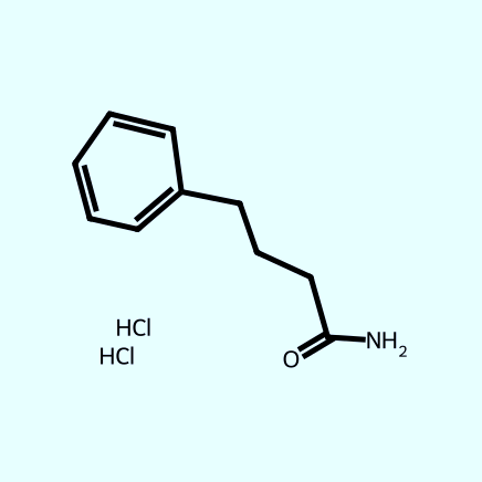 Cl.Cl.NC(=O)CCCc1ccccc1